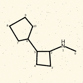 CNC1CCC1C1CCCC1